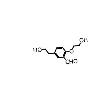 O=Cc1cc(CCO)ccc1OCCO